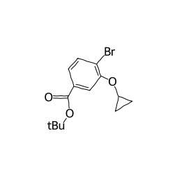 CC(C)(C)OC(=O)c1ccc(Br)c(OC2CC2)c1